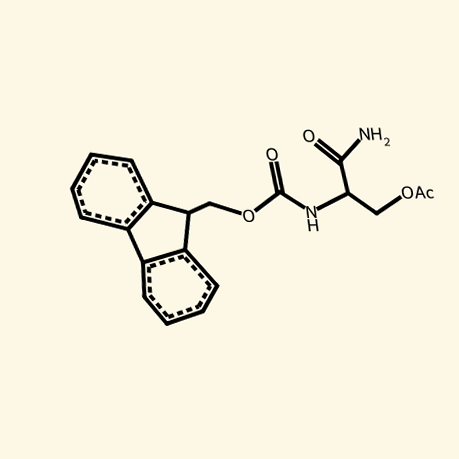 CC(=O)OCC(NC(=O)OCC1c2ccccc2-c2ccccc21)C(N)=O